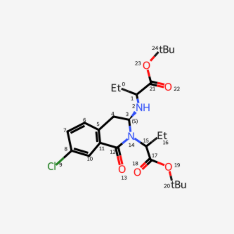 CCC(N[C@@H]1Cc2ccc(Cl)cc2C(=O)N1C(CC)C(=O)OC(C)(C)C)C(=O)OC(C)(C)C